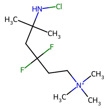 CC(C)(CC(F)(F)CC[N+](C)(C)C)NCl